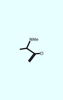 C=C(Cl)C(C)NC